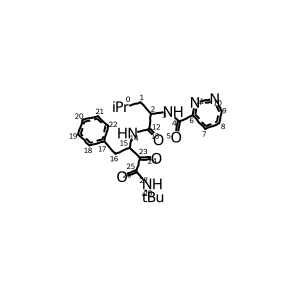 CC(C)CC(NC(=O)c1cccnn1)C(=O)NC(Cc1ccccc1)C(=O)C(=O)NC(C)(C)C